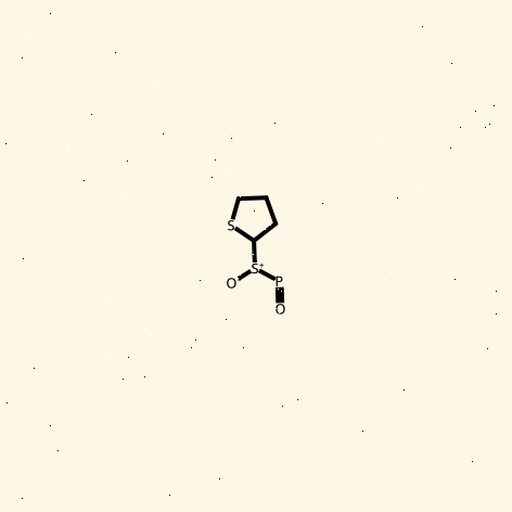 O=P[S+]([O-])C1CCCS1